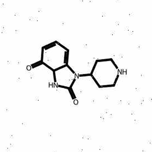 O=C1C=CC=C2C1NC(=O)N2C1CCNCC1